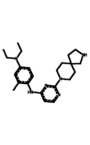 CCN(CC)c1ccc(Nc2ccnc(N3CCC4(CCNC4)CC3)n2)c(C)c1